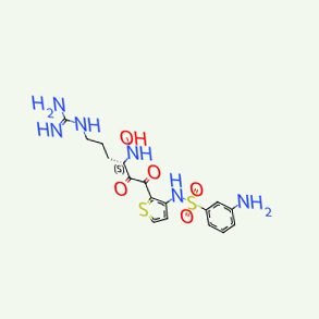 N=C(N)NCCC[C@H](NO)C(=O)C(=O)c1sccc1NS(=O)(=O)c1cccc(N)c1